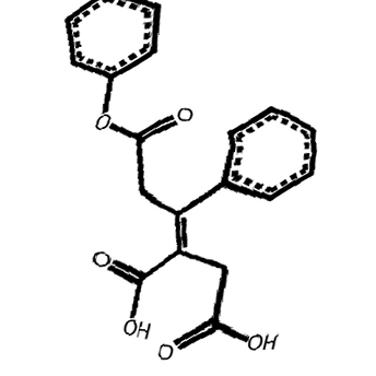 O=C(O)CC(C(=O)O)=C(CC(=O)Oc1ccccc1)c1ccccc1